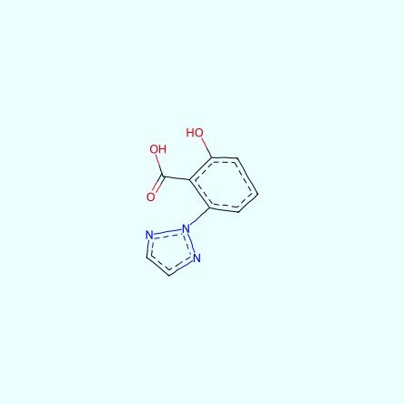 O=C(O)c1c(O)cccc1-n1nccn1